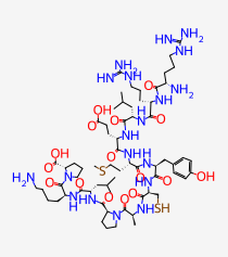 CSCC[C@H](NC(=O)[C@H](CCC(=O)O)NC(=O)[C@H](CC(C)C)NC(=O)[C@H](CCCNC(=N)N)NC(=O)[C@@H](N)CCCNC(=N)N)C(=O)N[C@@H](Cc1ccc(O)cc1)C(=O)N[C@@H](CS)C(=O)N[C@@H](C)C(=O)N1CCC[C@H]1C(=O)N[C@@H](CC(C)C)C(=O)N[C@@H](CCCCN)C(=O)N1CCC[C@H]1C(=O)O